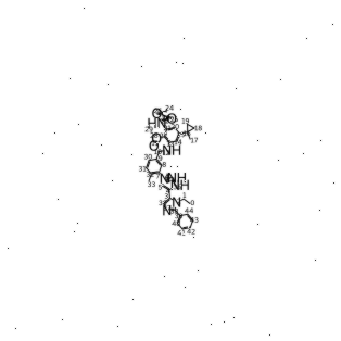 CCn1c(C2=CN(c3cc(C(=O)Nc4cc(C5(C)CC5)cc(NS(C)(=O)=O)c4OC)ccc3C)NN2)cnc1-c1ccccc1